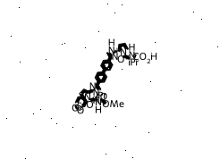 COC(=O)N[C@H](C(=O)N1C(c2nc(-c3ccc(-c4ccc(-c5c[nH]c([C@@H]6CCCN6C(=O)[C@@H](NC(=O)O)C(C)C)n5)cc4)cc3)c[nH]2)CCC12CCS(=O)(=O)CC2)C(C)C